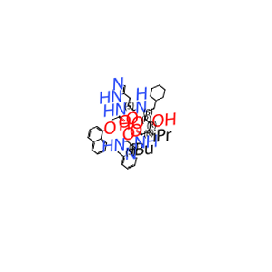 CC[C@H](C)[C@H](NC(=O)[C@H](C(C)C)[C@@H](O)[C@H](O)[C@H](CC1CCCCC1)NC(=O)[C@H](Cc1cnc[nH]1)NC(=O)COc1cccc2ccccc12)C(=O)NCc1ccccn1